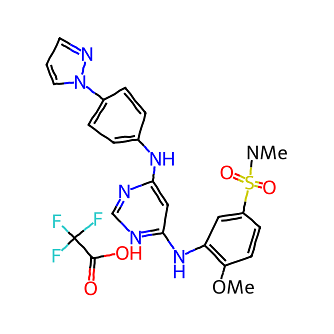 CNS(=O)(=O)c1ccc(OC)c(Nc2cc(Nc3ccc(-n4cccn4)cc3)ncn2)c1.O=C(O)C(F)(F)F